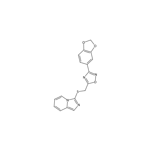 c1ccn2c(SCc3nc(-c4ccc5c(c4)OCO5)no3)ncc2c1